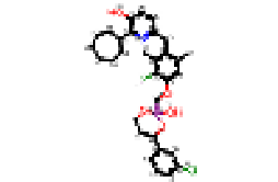 Cc1cc(OC[P]2(O)OCCC(c3cccc(Cl)c3)O2)c(F)c(C)c1Cc1ccc(O)c(C2CCCCCC2)n1